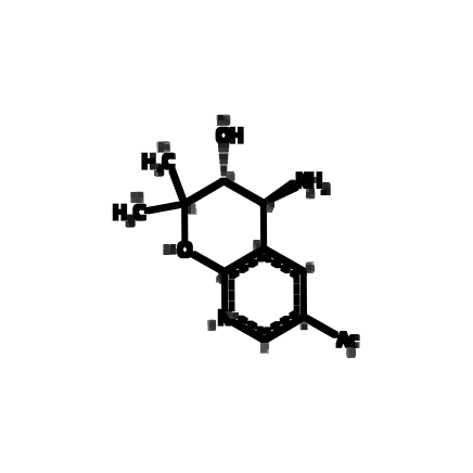 CC(=O)c1cnc2c(c1)[C@H](N)[C@@H](O)C(C)(C)O2